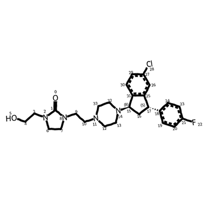 O=C1N(CCO)CCN1CCN1CCN([C@@H]2C[C@@H](c3ccc(F)cc3)c3cc(Cl)ccc32)CC1